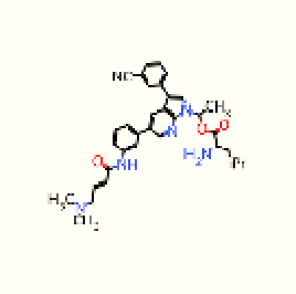 CC(C)C[C@H](N)C(=O)OC(C)n1cc(-c2cccc(C#N)c2)c2cc(-c3cccc(NC(=O)/C=C/CN(C)C)c3)cnc21